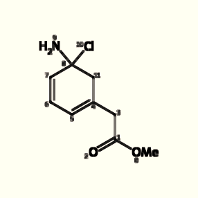 COC(=O)CC1=CC=CC(N)(Cl)C1